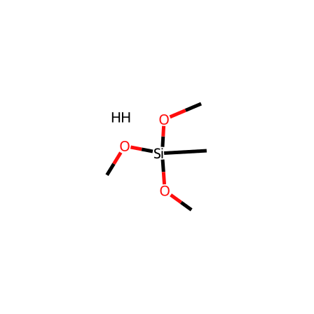 CO[Si](C)(OC)OC.[HH]